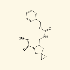 CC(C)(C)OC(=O)N1CC2(CC2)CC1CNC(=O)OCc1ccccc1